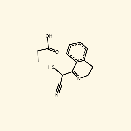 CCC(=O)O.N#CC(S)C1=NCCc2ccccc21